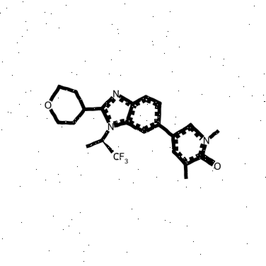 Cc1cc(-c2ccc3nc(C4CCOCC4)n([C@H](C)C(F)(F)F)c3c2)cn(C)c1=O